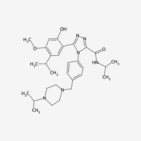 COc1cc(O)c(-c2nnc(C(=O)NC(C)C)n2-c2ccc(CN3CCN(C(C)C)CC3)cc2)cc1C(C)C